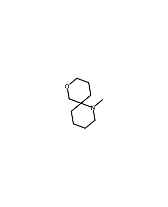 CN1CCCCC12CCCOC2